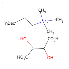 CCCCCCCCCCCC[N+](C)(C)C.O=C(O)C(O)C(O)C(=O)O